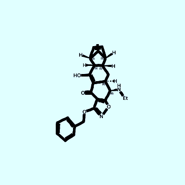 CCN[C@H]1c2onc(OCc3ccccc3)c2C(=O)C2=C(O)[C@H]3[C@@H](C[C@H]21)[C@H]1C=C[C@@H]3C1C